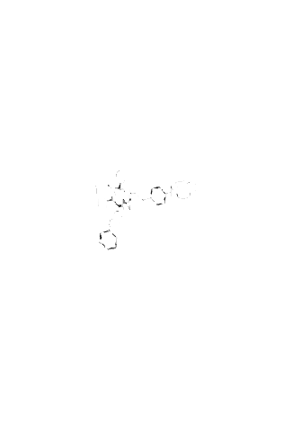 O=c1[nH]c(=O)n(CCc2ccc(N3CCOCC3)cc2)nc1OCc1ccccc1